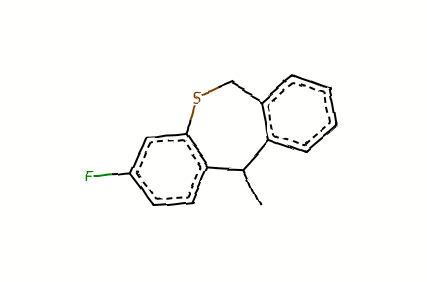 CC1c2ccccc2CSc2cc(F)ccc21